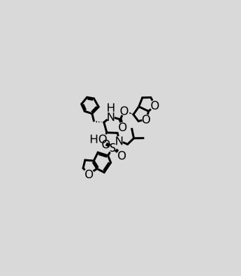 CC(C)CN(C[C@@H](O)[C@H](Cc1ccccc1)NC(=O)O[C@H]1COC2OCCC21)S(=O)(=O)c1ccc2c(c1)CCO2